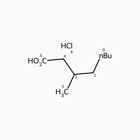 CCCCCC(C)CC(=O)O.Cl